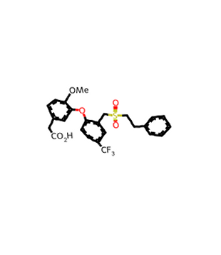 COc1ccc(CC(=O)O)cc1Oc1ccc(C(F)(F)F)cc1CS(=O)(=O)CCc1ccccc1